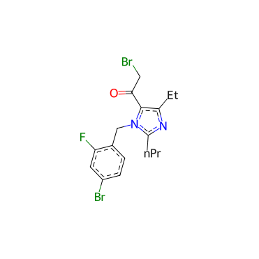 CCCc1nc(CC)c(C(=O)CBr)n1Cc1ccc(Br)cc1F